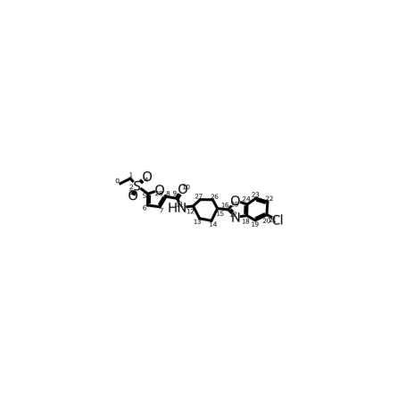 CCS(=O)(=O)c1ccc(C(=O)NC2CCC(c3nc4cc(Cl)ccc4o3)CC2)o1